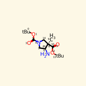 CC(C)(C)OC(=O)N1C[C@H](N)[C@](C)(C(=O)OC(C)(C)C)C1